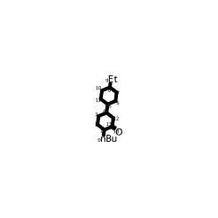 CCCCC1CCC(C2CCC(CC)CC2)CC1=O